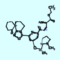 CCOC(=O)C(=N)/C=C\Nc1cc(O[C@@H](C)[C@@H]2CCCN2C)nc(-c2onc3c2CCC[C@@]32CCCCC2=O)n1